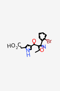 Cc1onc(-c2ccccc2Br)c1C(=O)c1c[nH]c(CC(=O)O)c1